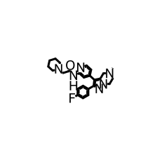 CN1CCn2nc(-c3ccc(F)cc3)c(-c3ccnc(NC(=O)CN4CCCCC4)c3)c2C1